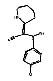 N#CC(=C1CCCCN1)C(S)c1ccc(Cl)cc1